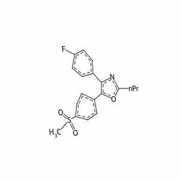 CCCc1nc(-c2ccc(F)cc2)c(-c2ccc(S(C)(=O)=O)cc2)o1